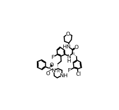 O=C(NC1CCOCC1)[C@H](Cc1ccc(Cl)c(F)c1)Nc1cccc(F)c1CC[C@@H]1CNCCN1S(=O)(=O)c1ccccc1